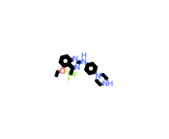 CCOc1cccc2nc(Nc3ccc(N4CCNCC4)cc3)nc(C(F)(F)F)c12